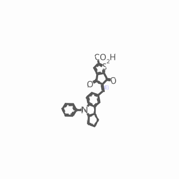 O=C(O)c1cc2c(s1)C(=O)/C(=C/c1ccc3c(c1)C1CCCC1N3c1ccccc1)C2=O